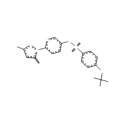 Cc1cc(=O)n(-c2ccc(NS(=O)(=O)c3ccc(OC(C)(F)F)cc3)cn2)[nH]1